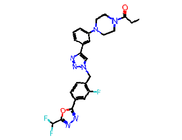 CCC(=O)N1CCN(c2cccc(-c3cn(Cc4ccc(-c5nnc(C(F)F)o5)cc4F)nn3)c2)CC1